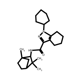 CC12CCC(C1)C(C)(C)C2NC(=O)c1nn(C2CCCCC2)c2c1CCCC2